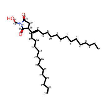 CCCCCCCCCCCCCC=C(CCCCCCCCCCCCC)C1CC(=O)N(CO)C1=O